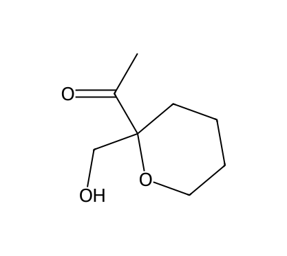 CC(=O)C1(CO)CCCCO1